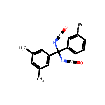 Cc1cc(C)cc(C(N=C=O)(N=C=O)c2cccc(C(C)C)c2)c1